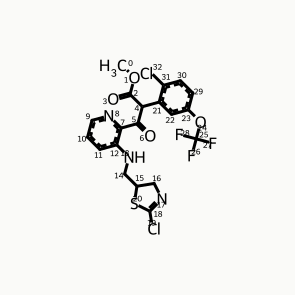 COC(=O)C(C(=O)c1ncccc1NCC1CN=C(Cl)S1)c1cc(OC(F)(F)F)ccc1Cl